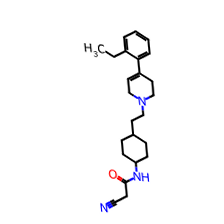 CCc1ccccc1C1=CCN(CCC2CCC(NC(=O)CC#N)CC2)CC1